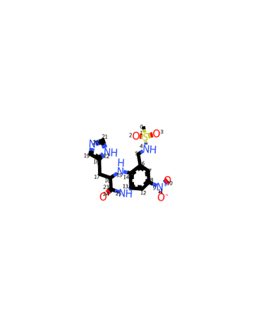 CS(=O)(=O)NCc1cc([N+](=O)[O-])cc2c1NC(Cc1cnc[nH]1)C(=O)N2